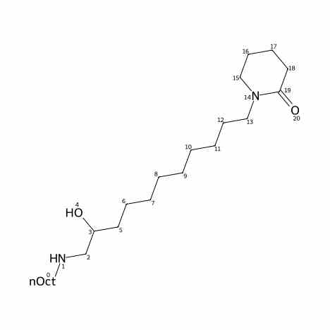 CCCCCCCCNCC(O)CCCCCCCCCN1CCCCC1=O